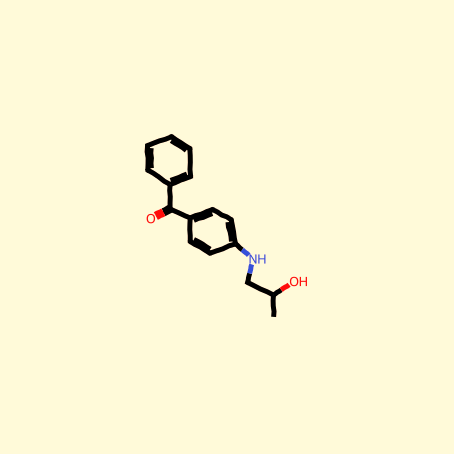 CC(O)CNc1ccc(C(=O)c2ccccc2)cc1